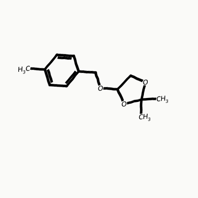 Cc1ccc(COC2COC(C)(C)O2)cc1